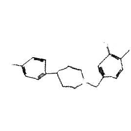 Cc1ccc(CN2CCC(c3ccc(N)cc3)CC2)cc1N